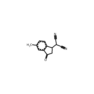 Cc1ccc2c(c1)C(=O)CC2C(C#N)C#N